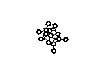 c1ccc(-c2cc(-c3ccccc3)nc(-c3cc(-c4ccccc4-n4c5ccccc5c5ccccc54)c(-n4c5ccc(-c6ccccc6)cc5c5cc(-c6ccccc6)ccc54)c(-c4ccccc4-n4c5ccccc5c5ccccc54)c3)c2)cc1